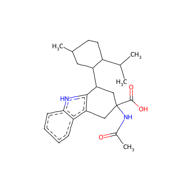 CC(=O)NC1(C(=O)O)Cc2c([nH]c3ccccc23)C(C2CC(C)CCC2C(C)C)C1